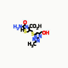 Cc1nc2nc(CO)cc(SCC3=C(C(=O)O)N4C(=O)C(N)[C@@H]4SC3)n2n1